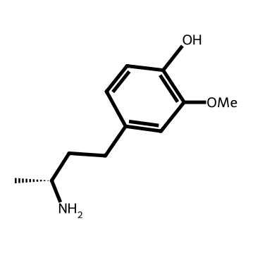 COc1cc(CC[C@@H](C)N)ccc1O